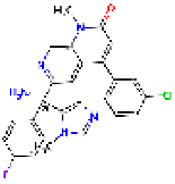 Cn1cncc1[C@@](N)(c1ccc(I)cc1)c1cc2c(-c3cccc(Cl)c3)cc(=O)n(C)c2cn1